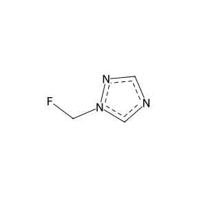 FCn1cncn1